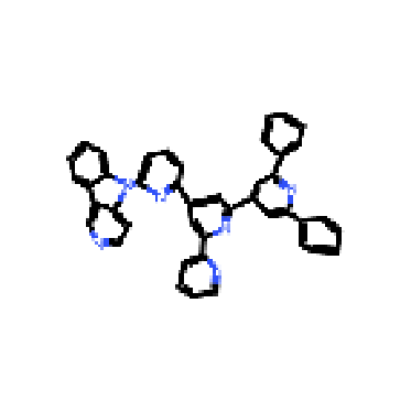 c1ccc(-c2cc(-c3cc(-c4cccc(-n5c6ccccc6c6cnccc65)n4)cc(-c4ccccn4)n3)cc(-c3ccccc3)n2)cc1